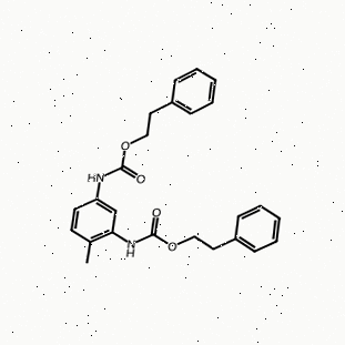 Cc1ccc(NC(=O)OCCc2ccccc2)cc1NC(=O)OCCc1ccccc1